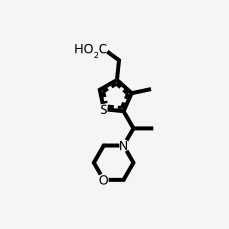 Cc1c(CC(=O)O)csc1C(C)N1CCOCC1